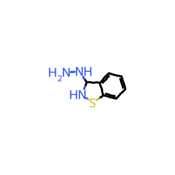 NNC1NSc2ccccc21